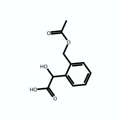 CC(=O)OCc1ccccc1C(O)C(=O)O